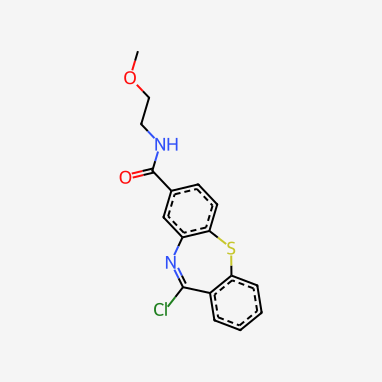 COCCNC(=O)c1ccc2c(c1)N=C(Cl)c1ccccc1S2